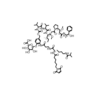 CC[C@H](C)[C@@H]([C@@H](CC(=O)N1CCC[C@H]1[C@H](OC)[C@@H](C)C(=O)N[C@H](C)[C@@H](O)c1ccccc1)OC)N(C)C(=O)[C@@H](NC(=O)C(C(C)C)N(C)C(=O)OCc1ccc(O[C@@H]2O[C@H](C(=O)O)[C@@H](O)[C@H](O)[C@H]2O)c(NC(=O)CCNC(=O)[C@H](CCCCNC(=O)C(C)C)NC(=O)CCCCCN2C(=O)C=CC2=O)c1)C(C)C